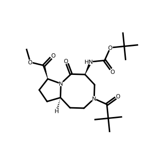 COC(=O)[C@@H]1CC[C@@H]2CCN(C(=O)C(C)(C)C)C[C@H](NC(=O)OC(C)(C)C)C(=O)N21